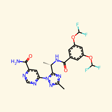 Cc1nc([C@H](C)NC(=O)c2cc(OC(F)F)cc(OC(F)F)c2)n(-c2cc(C(N)=O)ncn2)n1